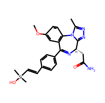 COc1ccc2c(c1)C(c1ccc(C=C[Si](C)(C)O)cc1)=N[C@@H](CC(N)=O)c1nnc(C)n1-2